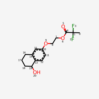 CC(F)(F)C(=O)OCCOc1ccc2c(c1)CCCC2O